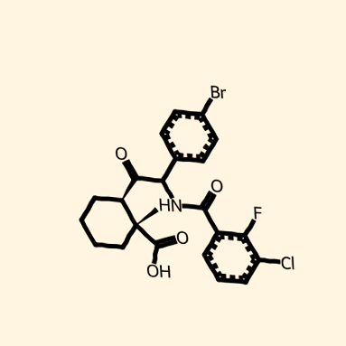 C[C@@]1(C(=O)O)CCCC[C@H]1C(=O)C(NC(=O)c1cccc(Cl)c1F)c1ccc(Br)cc1